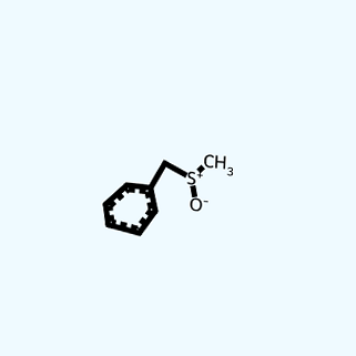 C[S+]([O-])Cc1ccccc1